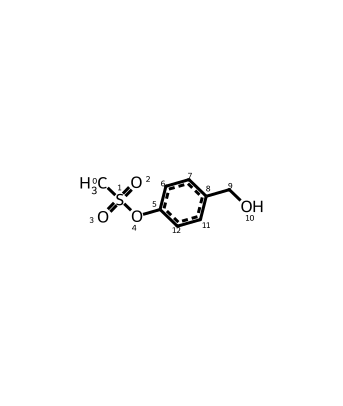 CS(=O)(=O)Oc1ccc(CO)cc1